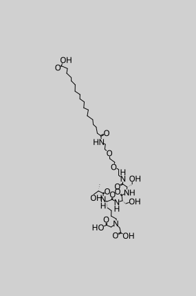 C[C@@H](CO)C(=O)N[C@@H](CCCCN(CC(=O)O)CC(=O)O)C(=O)N[C@@H](CO)C(=O)N[C@@H](CO)C(=O)NCCOCCOCCNC(=O)CCCCCCCCCCCCCCCCC(=O)O